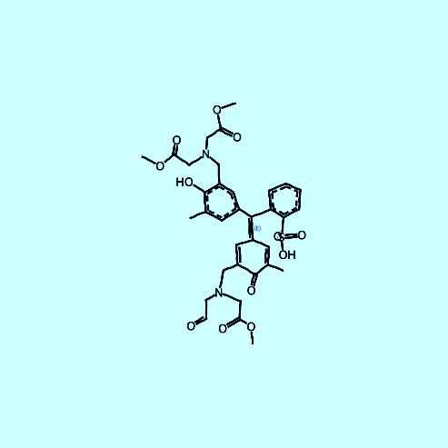 COC(=O)CN(CC=O)CC1=C/C(=C(\c2cc(C)c(O)c(CN(CC(=O)OC)CC(=O)OC)c2)c2ccccc2S(=O)(=O)O)C=C(C)C1=O